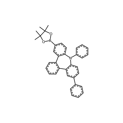 CC1(C)OB(c2ccc3c(c2)-c2ccccc2-c2cc(-c4ccccc4)ccc2N3c2ccccc2)OC1(C)C